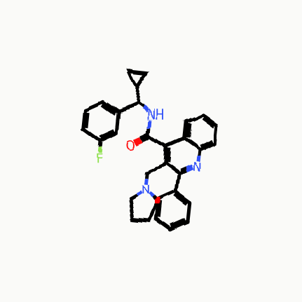 O=C(NC(c1cccc(F)c1)C1CC1)c1c(CN2CCCC2)c(-c2ccccc2)nc2ccccc12